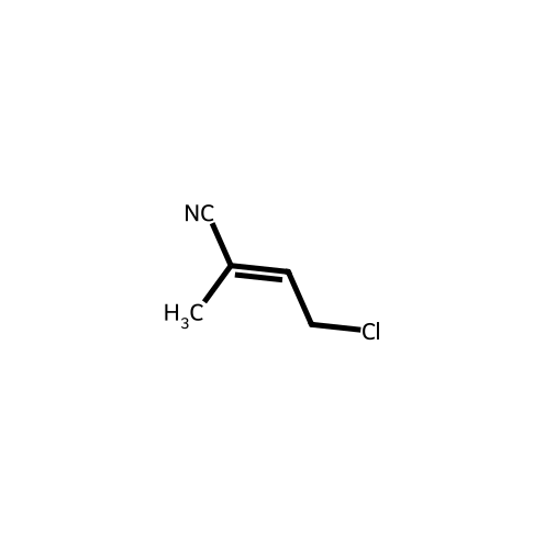 CC(C#N)=CCCl